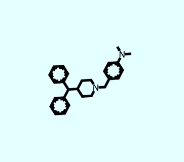 CN(C)c1ccc(CN2CCC(C(c3ccccc3)c3ccccc3)CC2)cc1